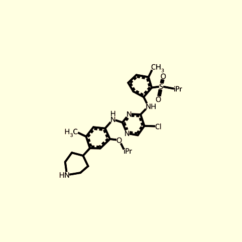 Cc1cc(Nc2ncc(Cl)c(Nc3cccc(C)c3S(=O)(=O)C(C)C)n2)c(OC(C)C)cc1C1CCNCC1